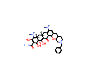 CN(C)c1cc(CC2CCN(Cc3ccccc3)CC2)c(O)c2c1C[C@H]1C[C@H]3[C@H](N(C)C)C(O)=C(C(N)=O)C(=O)[C@@]3(O)C(O)=C1C2=O